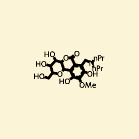 CCCN(CCC)Cc1c(O)c(OC)c(O)c2c1C(=O)OC1C2OC(CO)C(O)C1O